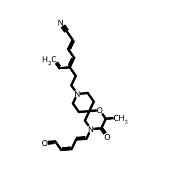 C=C/C(=C\C=C\C#N)CCN1CCC2(CC1)CN(/C=C/C=C\C=O)C(=O)C(C)O2